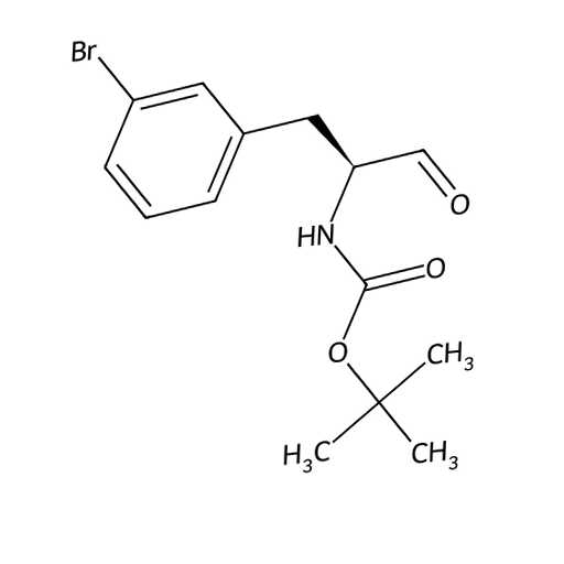 CC(C)(C)OC(=O)N[C@H](C=O)Cc1cccc(Br)c1